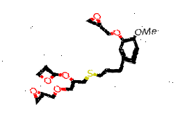 COc1ccc(CCCSCC(COCC2CO2)OC2CCO2)cc1OCC1CO1